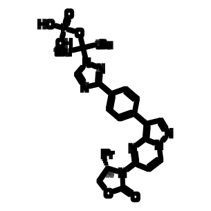 CC(C)[C@H]1COC(=O)N1c1ccn2ncc(-c3ccc(-c4ncn(C(OP(=O)(O)O)(C(C)(C)C)C(C)(C)C)n4)cc3)c2n1